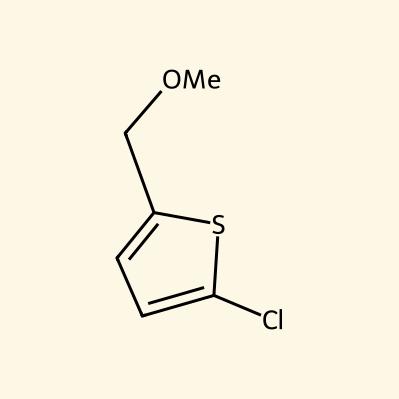 [CH2]OCc1ccc(Cl)s1